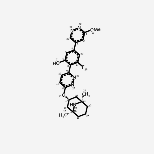 COc1cc(-c2cc(O)c(-c3ccc(O[C@@H]4C[C@]5(C)CCC[C@](C)(C4)N5)nn3)c(F)c2)cnn1